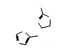 Cl.Cl.NC1=N[C@@H](Cc2cncs2)CS1